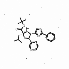 CC(C)C[C@@]1(C(=O)OC(C)(C)C)C[C@H](c2cnccn2)[C@H](c2csc(-c3ccccc3)n2)N1